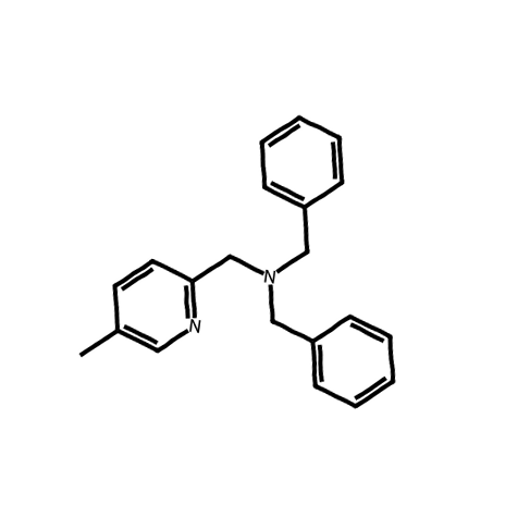 Cc1ccc(CN(Cc2ccccc2)Cc2ccccc2)nc1